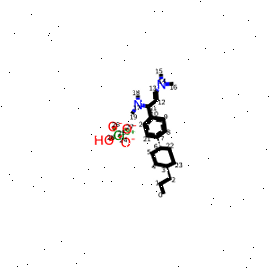 CCC[C@H]1CC[C@H](c2ccc(C(C=CN(C)C)N(C)C)cc2)CC1.[O-][Cl+3]([O-])([O-])O